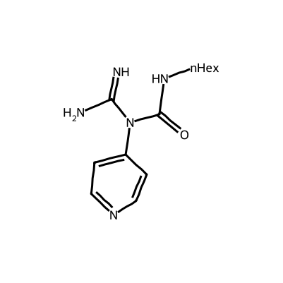 CCCCCCNC(=O)N(C(=N)N)c1ccncc1